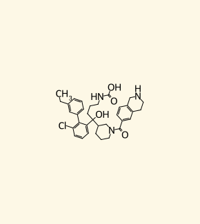 CCc1cccc(-c2c(Cl)cccc2C(O)(CCCNC(=O)O)C2CCCN(C(=O)c3ccc4c(c3)CCNC4)C2)c1